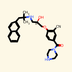 CC(C)(Cc1ccc2ccccc2c1)NC[C@@H](O)COc1ccc(C(=O)N2CCNCC2)cc1C#N